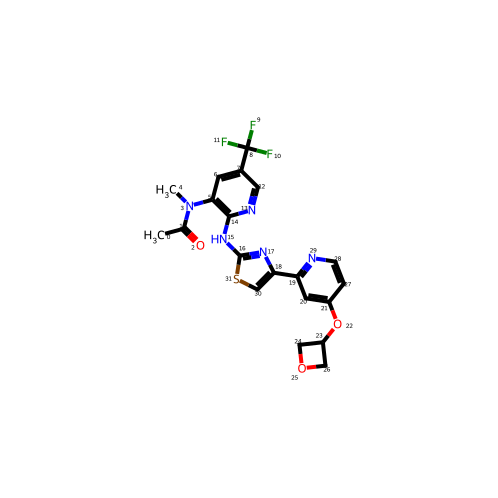 CC(=O)N(C)c1cc(C(F)(F)F)cnc1Nc1nc(-c2cc(OC3COC3)ccn2)cs1